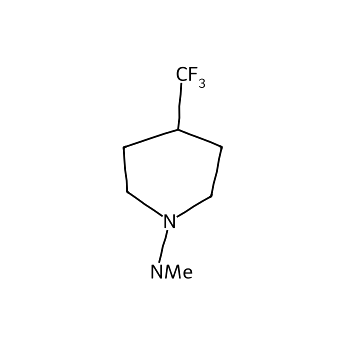 CNN1CCC(C(F)(F)F)CC1